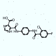 O=C(Nc1ccc(NC(=O)c2[nH]cnc2C(=O)O)cc1)c1ccc(F)cc1Cl